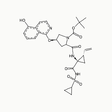 C=C[C@@H]1C[C@]1(NC(=O)C1C[C@@H](Oc2nccc3c(O)cccc23)CN1C(=O)OC(C)(C)C)C(=O)NS(=O)(=O)C1CC1